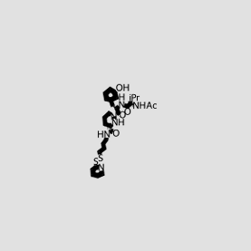 CC(=O)N[C@H](C(=O)N[C@@H](Cc1cccc(O)c1)C(=O)N1CCC[C@@H](C(=O)NCCCCSSc2ccccn2)N1)C(C)C